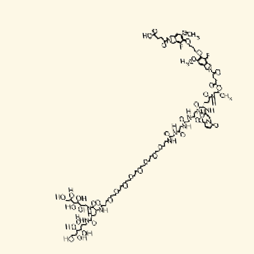 COc1cc2c(c(F)c1OCCCOc1c(OC)cc3c(c1F)CN(C(=O)CCC(=O)O[C@@H](C)CNC(=O)CC[C@H](NC(=O)CN1C(=O)C=CC1=O)C(=O)NCC(=O)NCC(=O)NCC(=O)NCC(=O)NCCOCCOCCOCCOCCOCCOCCOCCOCCC(=O)N[C@@H](CCC(=O)NC[C@H](O)[C@@H](O)[C@H](O)[C@H](O)CO)C(=O)NC[C@H](O)[C@@H](O)[C@H](O)[C@H](O)CO)C3)CN(C(=O)CCC(=O)O)C2